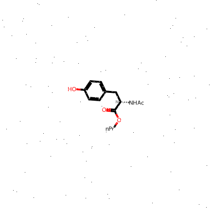 CCCOC(=O)[C@H](Cc1ccc(O)cc1)NC(C)=O